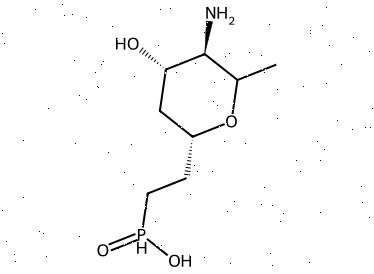 CC1O[C@H](CC[PH](=O)O)C[C@H](O)[C@H]1N